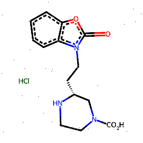 Cl.O=C(O)N1CCN[C@H](CCn2c(=O)oc3ccccc32)C1